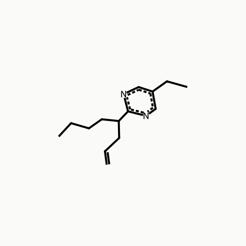 C=CCC(CCCC)c1ncc(CC)cn1